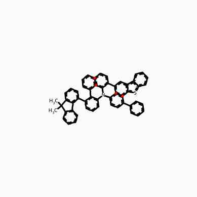 CC1(C)c2ccccc2-c2c(-c3cccc(N(c4ccc(-c5ccccc5)cc4)c4ccccc4-c4ccc5sc6ccccc6c5c4)c3-c3ccccc3)cccc21